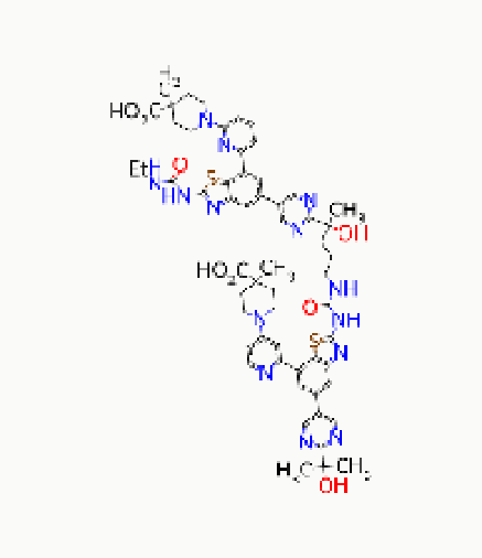 CCNC(=O)Nc1nc2cc(-c3cnc(C(C)(O)CCCNC(=O)Nc4nc5cc(-c6cnc(C(C)(C)O)nc6)cc(-c6cc(N7CCC(C)(C(=O)O)CC7)ccn6)c5s4)nc3)cc(-c3cccc(N4CCC(C)(C(=O)O)CC4)n3)c2s1